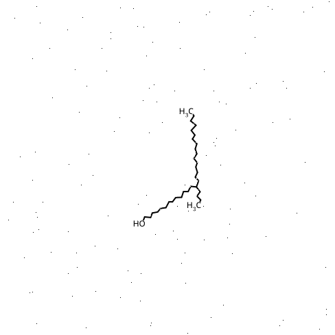 CCCCCCCCCCCCCCCCC(CCCC)CCCCCCCCCCCCCO